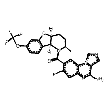 C[C@@H]1CC[C@@H]2Oc3cc(OC(F)(F)F)ccc3[C@@H]2N1C(=O)c1cc2c(cc1F)nc(N)c1cncn12